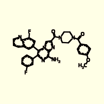 COc1ccc(C(=O)N2CCN(C(=O)c3cn4c(-c5cc(F)c6ncccc6c5)c(-c5cccc(F)c5)nc(N)c4n3)CC2)cc1